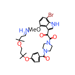 COc1ccc(Br)c2[nH]cc(C(=O)C(=O)N3CCN(C(=O)c4ccc(OC(C)(C)CCOC(C)(C)CCN)cc4)CC3)c12